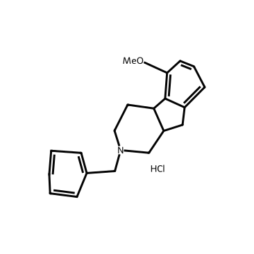 COc1cccc2c1C1CCN(Cc3ccccc3)CC1C2.Cl